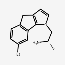 CCc1ccc2c(c1)-c1c(ccn1C[C@H](C)N)C2